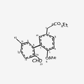 CCOC(=O)Cc1ccc(OC)c(-c2cc(C)ccc2C=O)c1